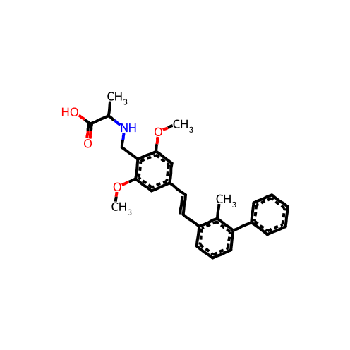 COc1cc(C=Cc2cccc(-c3ccccc3)c2C)cc(OC)c1CNC(C)C(=O)O